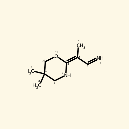 C/C(C=N)=C1/NCC(C)(C)CO1